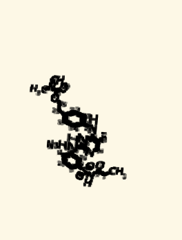 CCC(=O)NS(=O)(=O)c1cccc(Nc2ncc(F)c(Nc3ccc(CCOC(=O)N(C)C)cc3)n2)c1.[NaH]